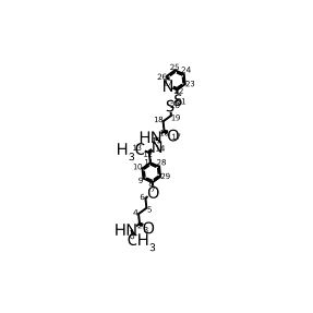 CNC(=O)CCCOc1ccc(/C(C)=N/NC(=O)CCSSc2ccccn2)cc1